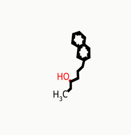 CCC(O)CCCc1ccc2ccccc2c1